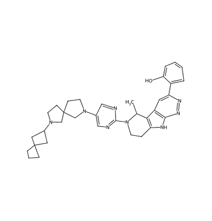 CC1c2c([nH]c3nnc(-c4ccccc4O)cc23)CCN1c1ncc(N2CCC3(CCN(C4CC5(CCC5)C4)C3)C2)cn1